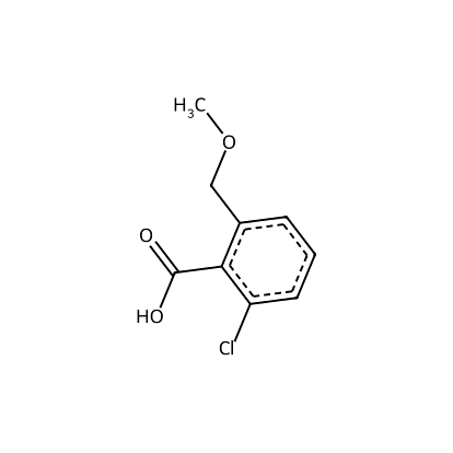 COCc1cccc(Cl)c1C(=O)O